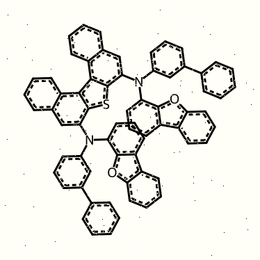 c1ccc(-c2cccc(N(c3cccc4c3oc3ccccc34)c3cc4ccccc4c4c3sc3c(N(c5cccc(-c6ccccc6)c5)c5cccc6c5oc5ccccc56)cc5ccccc5c34)c2)cc1